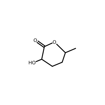 CC1CCC(O)C(=O)O1